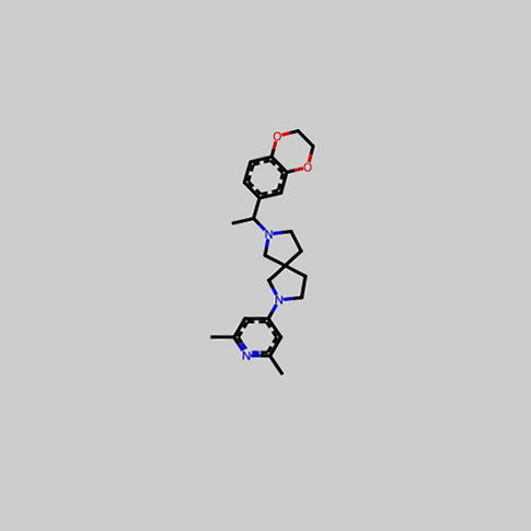 Cc1cc(N2CCC3(CCN(C(C)c4ccc5c(c4)OCCO5)C3)C2)cc(C)n1